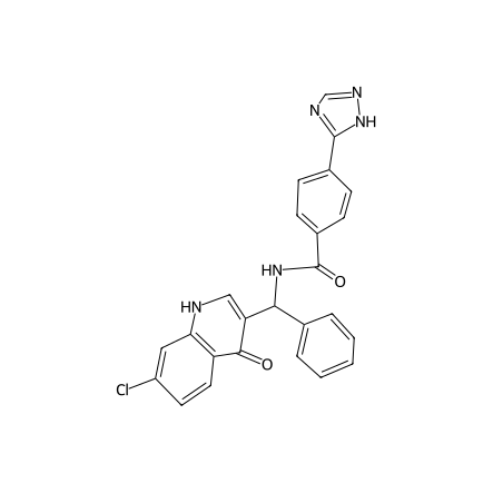 O=C(NC(c1ccccc1)c1c[nH]c2cc(Cl)ccc2c1=O)c1ccc(-c2ncn[nH]2)cc1